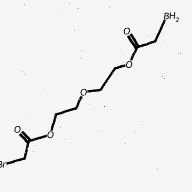 BCC(=O)OCCOCCOC(=O)CBr